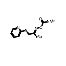 CNC(=O)ON=C(CSc1ccccn1)C(C)(C)C